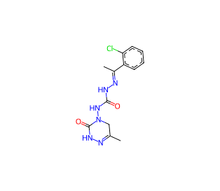 CC1=NNC(=O)N(NC(=O)N/N=C(\C)c2ccccc2Cl)C1